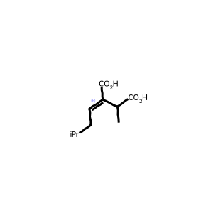 CC(C)C/C=C(/C(=O)O)C(C)C(=O)O